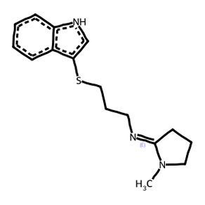 CN1CCC/C1=N\CCCSc1c[nH]c2ccccc12